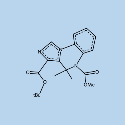 COC(=O)N1c2ccccc2-n2cnc(C(=O)OC(C)(C)C)c2C1(C)C